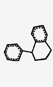 [CH]1CCc2ccccc2C1c1ccccc1